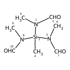 CN(C=O)[Si](C)(N(C)C=O)N(C)C=O